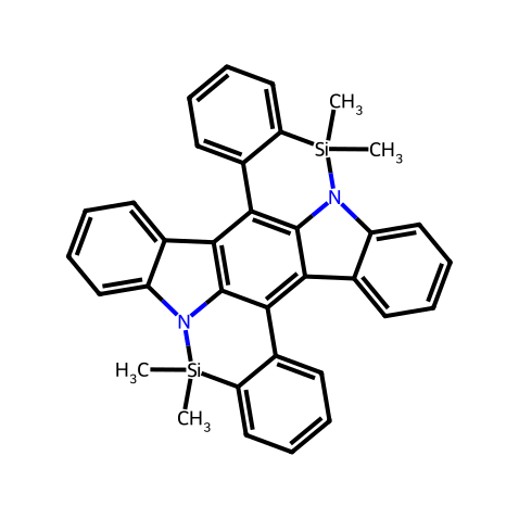 C[Si]1(C)c2ccccc2-c2c3c4ccccc4n4c3c(c3c5ccccc5n1c23)-c1ccccc1[Si]4(C)C